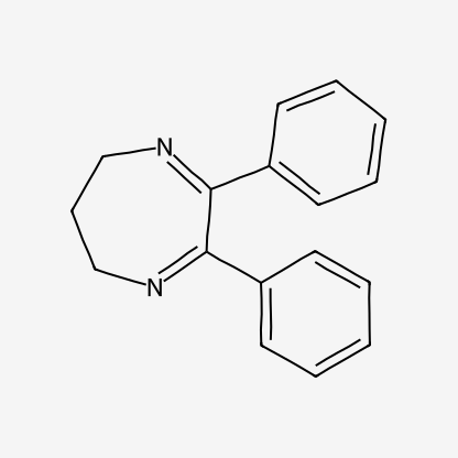 c1ccc(C2=NCCCN=C2c2ccccc2)cc1